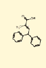 C/C(=C\C(c1ccccc1)c1ccccc1)C(=O)O